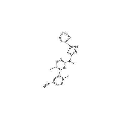 Cc1cnc(N(C)c2cc(-c3ccccc3)[nH]n2)nc1-c1cc(C#N)ccc1F